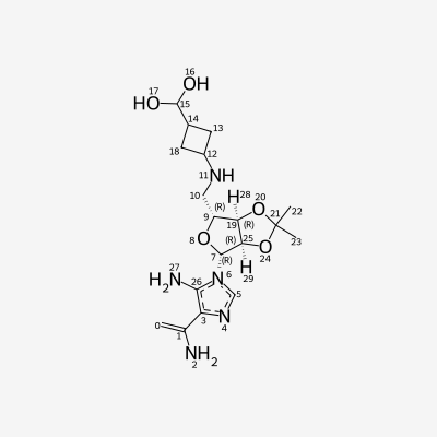 C=C(N)c1ncn([C@@H]2O[C@H](CNC3CC(C(O)O)C3)[C@H]3OC(C)(C)O[C@H]32)c1N